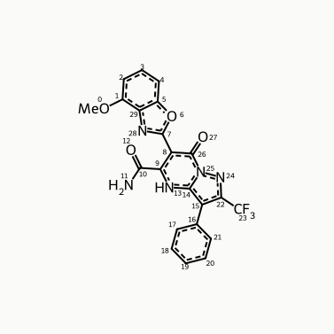 COc1cccc2oc(-c3c(C(N)=O)[nH]c4c(-c5ccccc5)c(C(F)(F)F)nn4c3=O)nc12